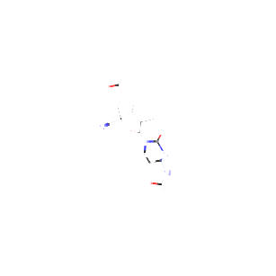 CC(=O)Nc1ccn(C2OC(C#N)(COC(C)=O)C(O)C2C)c(=O)n1